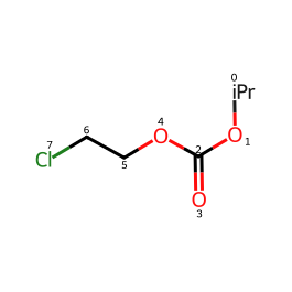 CC(C)OC(=O)OCCCl